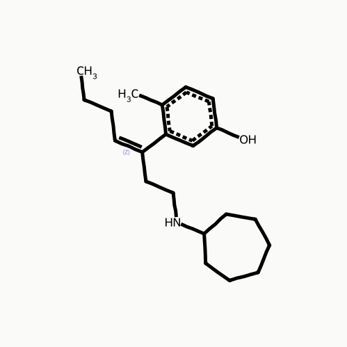 CCC/C=C(/CCNC1CCCCCC1)c1cc(O)ccc1C